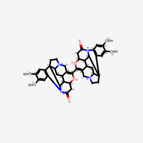 COc1cc2c(cc1OC)C13CCN4CC5=C(C6=C7CN8CCC9%10c%11cc(OC)c(OC)cc%11N%11C(=O)CC(O6)C(C7CC89)C%11%10)OC6CC(=O)N2C1C6C5CC43